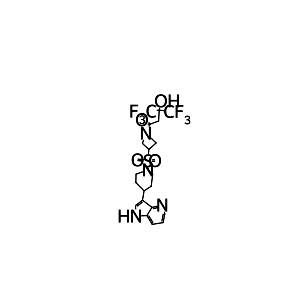 O=C(CC(O)(C(F)(F)F)C(F)(F)F)N1CC(S(=O)(=O)N2CCC(c3c[nH]c4cccnc34)CC2)C1